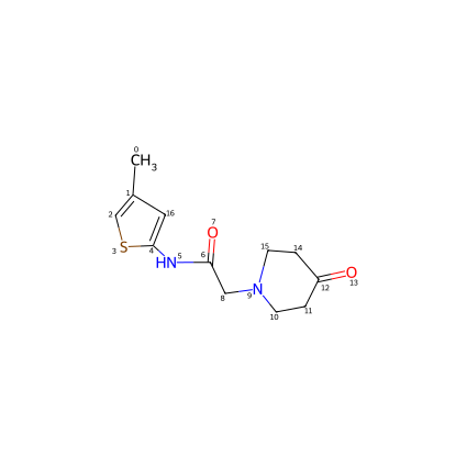 Cc1csc(NC(=O)CN2CCC(=O)CC2)c1